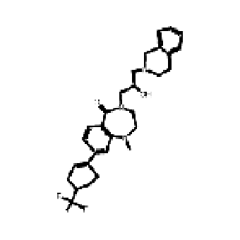 CN1CCN(CC(O)CN2CCc3ccccc3C2)C(=O)c2ccc(C3=CCC(C(C)(F)F)CC3)cc21